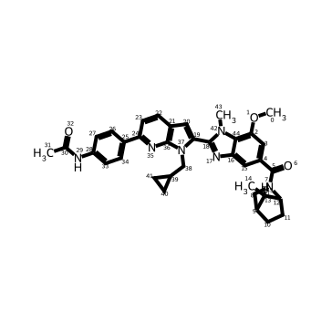 COc1cc(C(=O)N2CC3CCC2[C@@H]3C)cc2nc(-c3cc4ccc(-c5ccc(NC(C)=O)cc5)nc4n3CC3CC3)n(C)c12